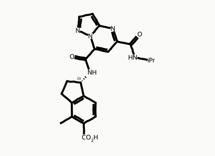 Cc1c(C(=O)O)ccc2c1CC[C@@H]2NC(=O)c1cc(C(=O)NC(C)C)nc2ccnn12